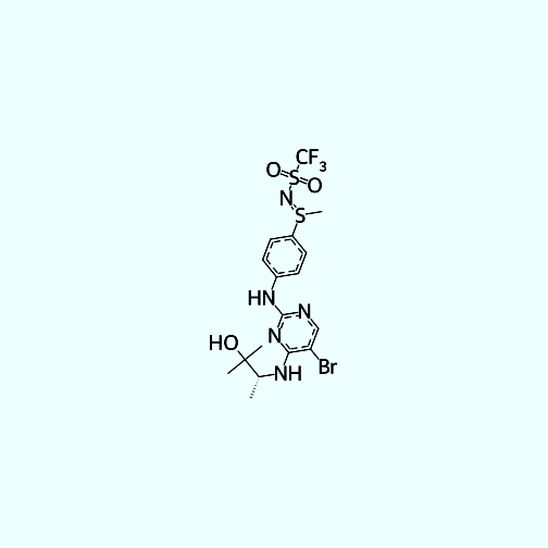 C[C@@H](Nc1nc(Nc2ccc(/S(C)=N/S(=O)(=O)C(F)(F)F)cc2)ncc1Br)C(C)(C)O